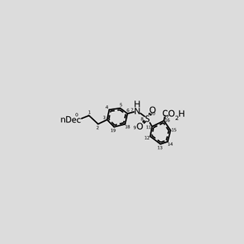 CCCCCCCCCCCCc1ccc(NS(=O)(=O)c2ccccc2C(=O)O)cc1